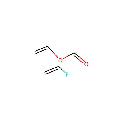 C=CF.C=COC=O